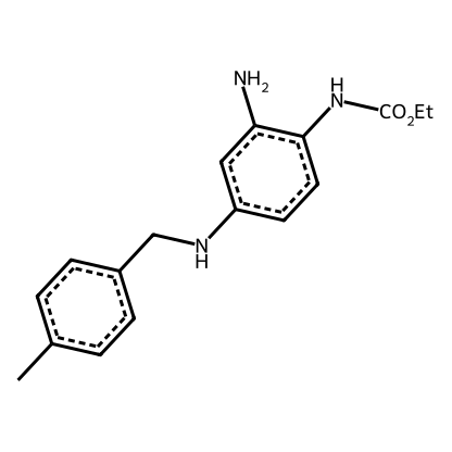 CCOC(=O)Nc1ccc(NCc2ccc(C)cc2)cc1N